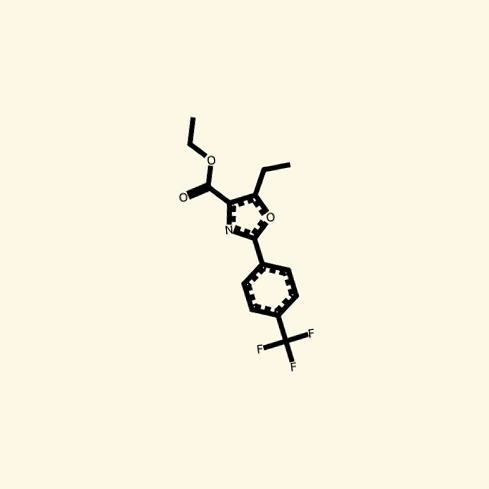 CCOC(=O)c1nc(-c2ccc(C(F)(F)F)cc2)oc1CC